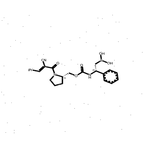 CC(C)C=C(C#N)C(=O)N1CCC[C@H]1COC(=O)N[C@H](CB(O)O)c1ccccc1